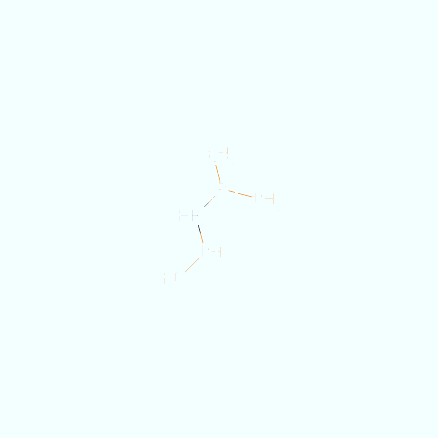 PPBP(P)P